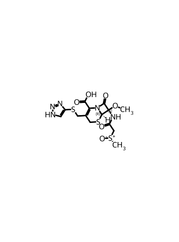 CO[C@@]1(NC(=O)C[S+](C)[O-])C(=O)N2C(C(=O)O)=C(CSc3c[nH]nn3)CS[C@@H]21